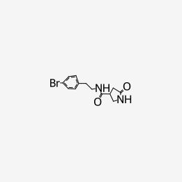 O=C1CC(C(=O)NCCc2ccc(Br)cc2)CN1